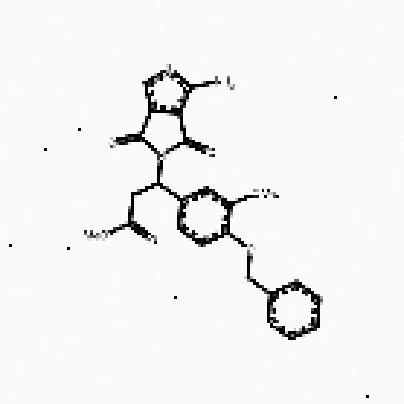 COC(=O)CC(c1ccc(OCc2ccccc2)c(OC)c1)N1C(=O)c2csc(N)c2C1=O